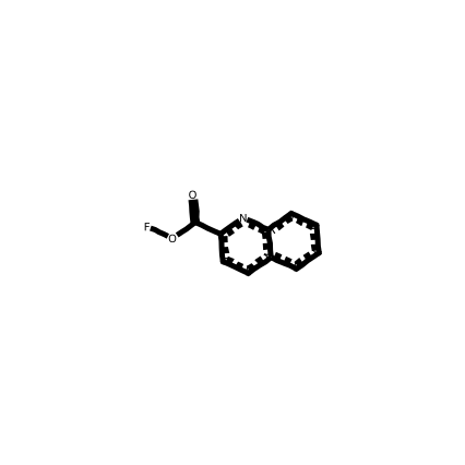 O=C(OF)c1ccc2ccccc2n1